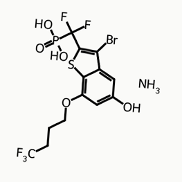 N.O=P(O)(O)C(F)(F)c1sc2c(OCCCC(F)(F)F)cc(O)cc2c1Br